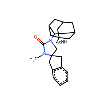 CC(=O)NC12CC3CC(C1)C(N1CC4(Cc5ccccc5C4)N(C)C1=O)C(C3)C2